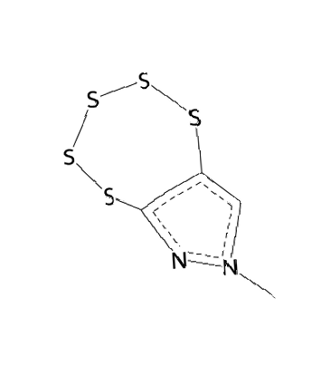 Cn1cc2c(n1)SSSSS2